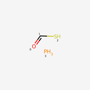 O=CS.P